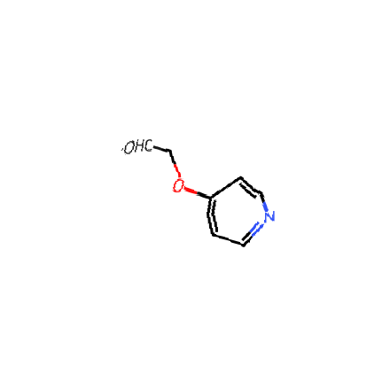 O=[C]COc1ccncc1